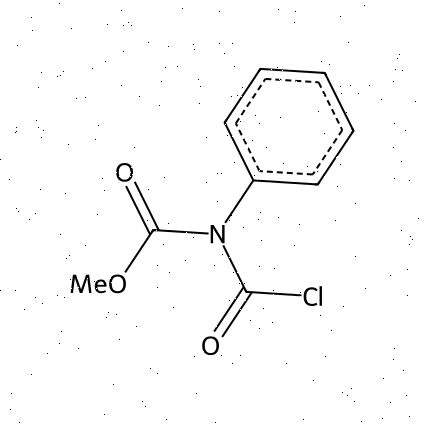 COC(=O)N(C(=O)Cl)c1ccccc1